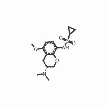 COc1ccc(NS(=O)(=O)C2CC2)c2c1C[C@@H](N(C)C)CO2